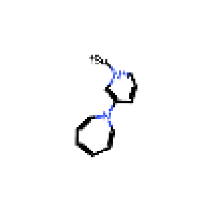 CC(C)(C)[n+]1cccc(N2C=CC=CC=C2)c1